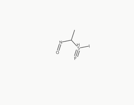 CC(N=O)[SH](#P)I